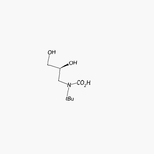 CC(C)(C)N(C[C@H](O)CO)C(=O)O